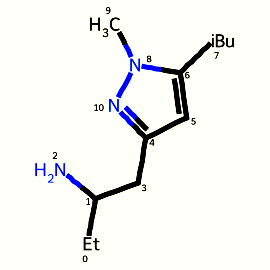 CCC(N)Cc1cc(C(C)CC)n(C)n1